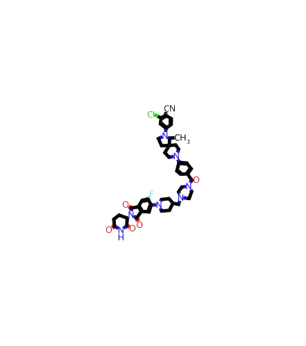 CC1N(c2ccc(C#N)c(Cl)c2)CCC12CCN(c1ccc(C(=O)N3CCN(CC4CCN(c5cc6c(cc5F)C(=O)N(C5CCC(=O)NC5=O)C6=O)CC4)CC3)cc1)CC2